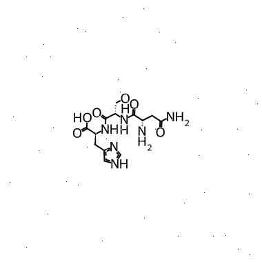 NC(=O)C[C@H](N)C(=O)N[C@@H](CO)C(=O)N[C@@H](Cc1c[nH]cn1)C(=O)O